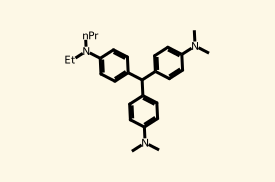 CCCN(CC)c1ccc(C(c2ccc(N(C)C)cc2)c2ccc(N(C)C)cc2)cc1